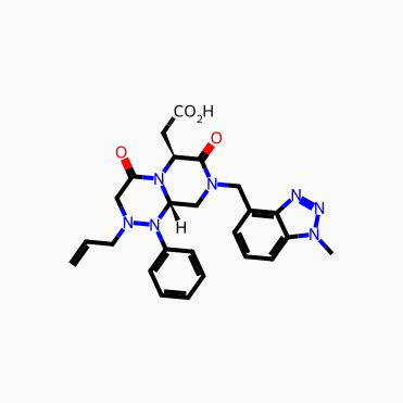 C=CCN1CC(=O)N2[C@@H](CC(=O)O)C(=O)N(Cc3cccc4c3nnn4C)C[C@@H]2N1c1ccccc1